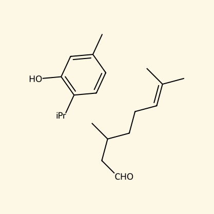 CC(C)=CCCC(C)CC=O.Cc1ccc(C(C)C)c(O)c1